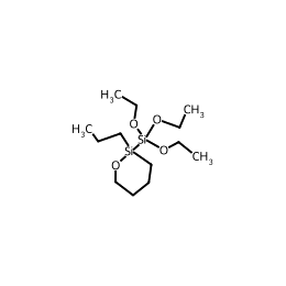 CCC[Si]1([Si](OCC)(OCC)OCC)CCCCO1